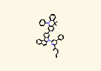 C=C/C=C\C(=C)C1=NC(n2c3cc(-c4ccc5c(c4)N(c4ccccc4)c4ccccc4C5(C)C)ccc3c3c4ccccc4ccc32)=CC(c2ccccc2)C1